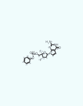 Nc1nc2c(ccn2[C@H]2C[C@H](F)[C@@](F)(CO[PH](=O)Oc3ccccc3)O2)c(=O)[nH]1